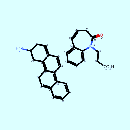 NC1CC=c2ccc3c(c2C1)CC=c1ccccc1=3.O=C(O)CCN1C(=O)CC=Cc2ccccc21